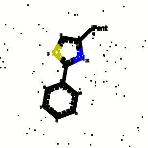 CCCC(C)c1csc(-c2ccccc2)n1